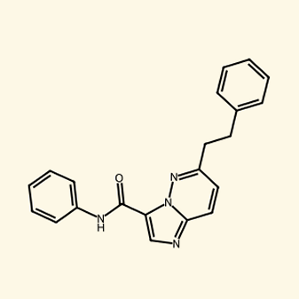 O=C(Nc1ccccc1)c1cnc2ccc(CCc3ccccc3)nn12